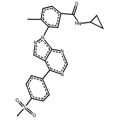 Cc1ccc(C(=O)NC2CC2)cc1-n1ncc2c(-c3ccc(S(C)(=O)=O)cc3)ncnc21